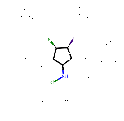 F[C@@H]1CC(NCl)C[C@@H]1I